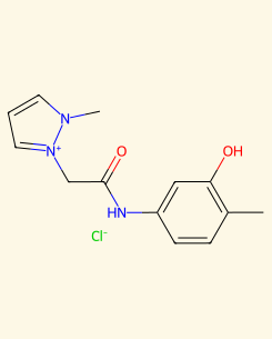 Cc1ccc(NC(=O)C[n+]2cccn2C)cc1O.[Cl-]